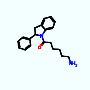 NCCCCCC(=O)N1c2ccccc2CC1c1ccccc1